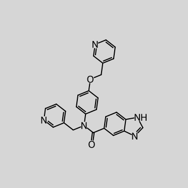 O=C(c1ccc2[nH]cnc2c1)N(Cc1cccnc1)c1ccc(OCc2cccnc2)cc1